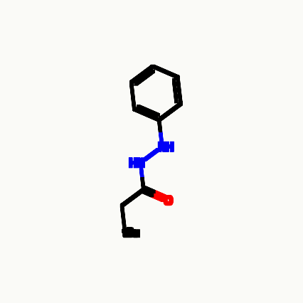 CC(C)(C)CC(=O)NNc1ccccc1